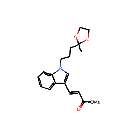 COC(=O)C=Cc1cn(CCCC2(C)OCCO2)c2ccccc12